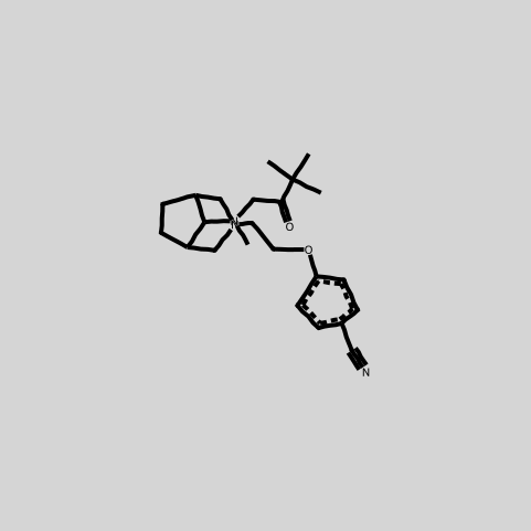 CN(CC(=O)C(C)(C)C)C1C2CCC1CN(CCOc1ccc(C#N)cc1)C2